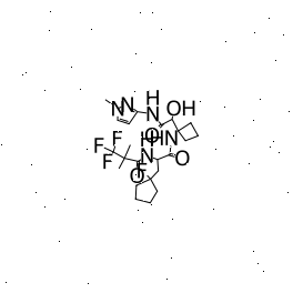 Cn1ccc(NC(=O)C(O)C2(NC(=O)C(CC3(F)CCCC3)NC(=O)C(C)(C)C(F)(F)F)CCC2)n1